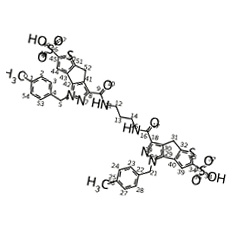 Cc1ccc(Cn2nc(C(=O)NCCCNC(=O)c3nn(Cc4ccc(C)cc4)c4c3Cc3sc(S(=O)(=O)O)cc3-4)c3c2-c2cc(S(=O)(=O)O)sc2C3)cc1